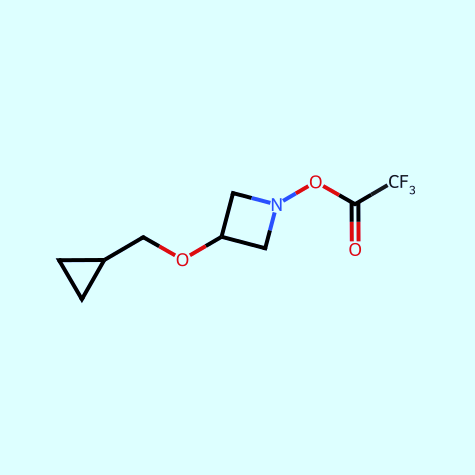 O=C(ON1CC(OCC2CC2)C1)C(F)(F)F